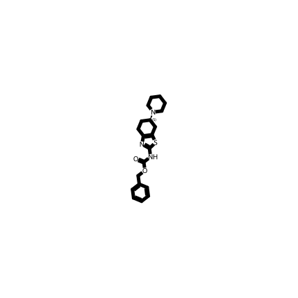 O=C(Nc1nc2c(s1)C[C@@H](N1CCCCC1)CC2)OCc1ccccc1